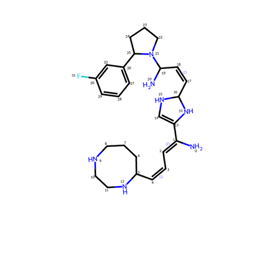 N/C(=C\C=C/C1CCCNCCN1)C1=CNC(/C=C\C(N)N2CCCC2c2cccc(F)c2)N1